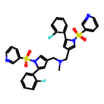 CN(Cc1cc(-c2ccccc2F)n(S(=O)(=O)c2cccnc2)c1)Cc1cc(-c2ccccc2F)n(S(=O)(=O)c2cccnc2)c1